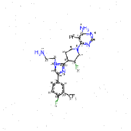 CC(C)c1c(N)ncnc1N1CCC(c2nc(-c3ccc(F)c(C(F)(F)F)c3)cn2CCN)C(F)C1